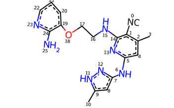 [C-]#[N+]c1c(C)cc(Nc2cc(C)[nH]n2)nc1NCCOc1cccnc1N